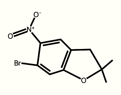 CC1(C)Cc2cc([N+](=O)[O-])c(Br)cc2O1